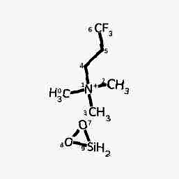 C[N+](C)(C)CCC(F)(F)F.O1O[SiH2]1